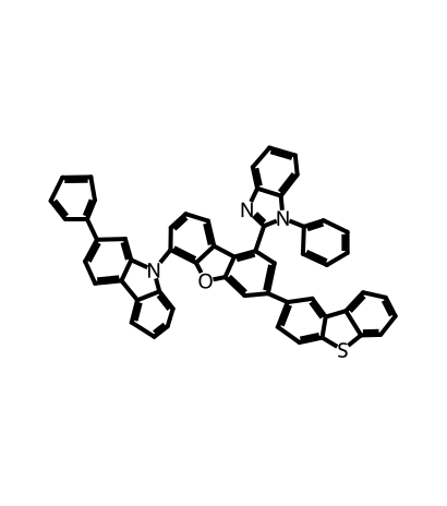 c1ccc(-c2ccc3c4ccccc4n(-c4cccc5c4oc4cc(-c6ccc7sc8ccccc8c7c6)cc(-c6nc7ccccc7n6-c6ccccc6)c45)c3c2)cc1